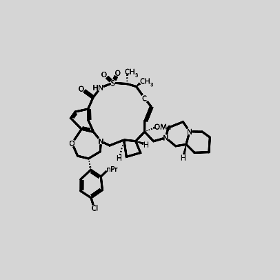 CCCc1cc(Cl)ccc1[C@@H]1COc2ccc3cc2N(C1)C[C@@H]1CC[C@H]1[C@@](CN1CCN2CCCC[C@@H]2C1)(OC)/C=C/C[C@H](C)[C@@H](C)S(=O)(=O)NC3=O